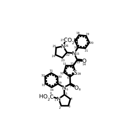 O=C(O)N1CCCC1N(C(=O)c1ccc(C(=O)N(c2ccccc2)C2CCCN2C(=O)O)s1)c1ccccc1